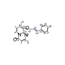 Cc1cc(=O)n2ccc(C)c(OC/C=C/c3ccccc3)c2n1